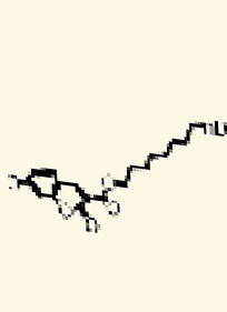 CCCCCCCCCCCCCCCCCCOC(=O)c1cc2ccc(O)cc2oc1=O